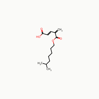 C=C(C=CC(=O)O)C(=O)OCCCCCC(C)C